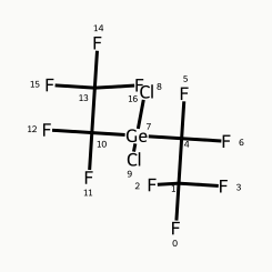 FC(F)(F)[C](F)(F)[Ge]([Cl])([Cl])[C](F)(F)C(F)(F)F